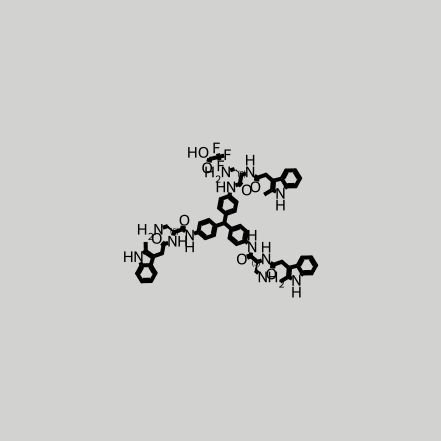 Cc1[nH]c2ccccc2c1CC(=O)N[C@@H](CN)C(=O)Nc1ccc(C(c2ccc(NC(=O)[C@H](CN)NC(=O)Cc3c(C)[nH]c4ccccc34)cc2)c2ccc(NC(=O)[C@H](CN)NC(=O)Cc3c(C)[nH]c4ccccc34)cc2)cc1.O=C(O)C(F)(F)F